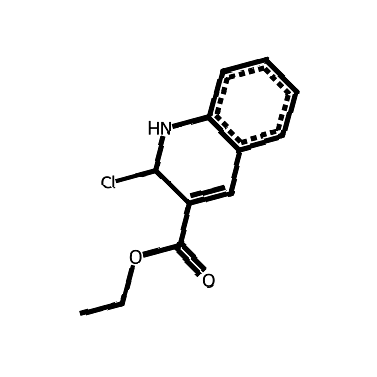 CCOC(=O)C1=Cc2ccccc2NC1Cl